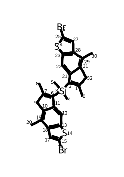 CC1=C([Si](C)(C)C2=C(C)Cc3c2cc2sc(Br)cc2c3C)c2cc3sc(Br)cc3c(C)c2C1